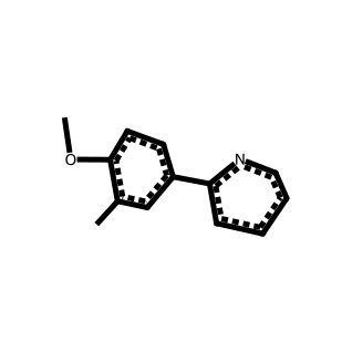 COc1ccc(-c2ccccn2)cc1C